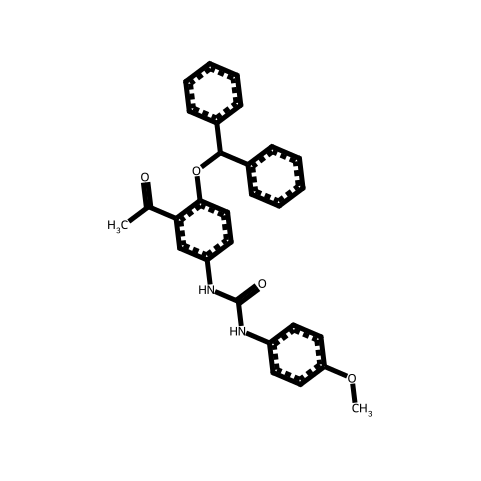 COc1ccc(NC(=O)Nc2ccc(OC(c3ccccc3)c3ccccc3)c(C(C)=O)c2)cc1